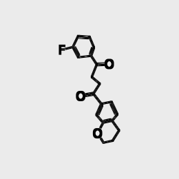 O=C(CCC(=O)c1ccc2c(c1)OCCC2)c1cccc(F)c1